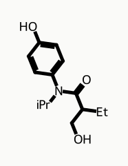 CCC(CO)C(=O)N(c1ccc(O)cc1)C(C)C